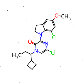 CCC(C1CCC1)n1cc(Cl)nc(N2CCc3cc(OC)cc(Cl)c32)c1=O